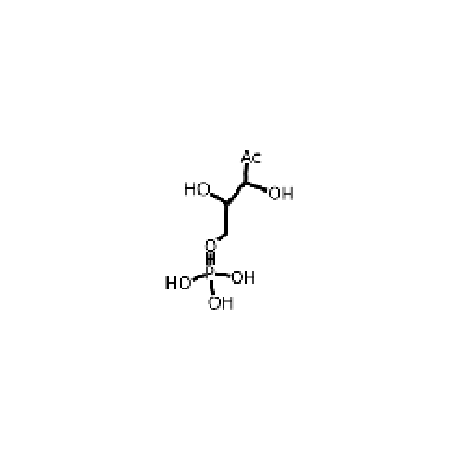 CC(=O)C(O)C(O)CO[PH](O)(O)O